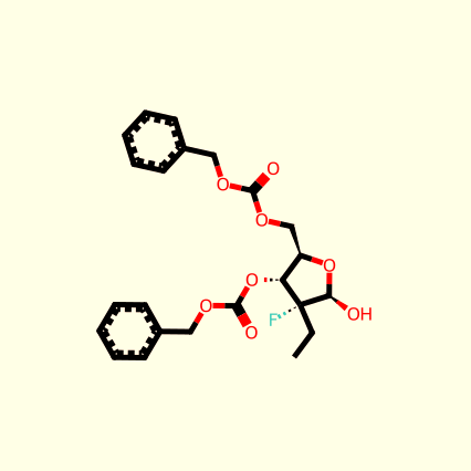 CC[C@]1(F)[C@H](O)O[C@H](COC(=O)OCc2ccccc2)[C@H]1OC(=O)OCc1ccccc1